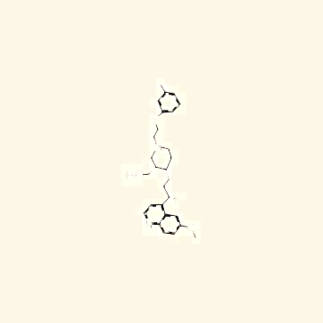 COc1ccc2nccc([C@@H](F)CC[C@@H]3CCN(CCSc4cccc(C)c4)C[C@@H]3CO)c2c1